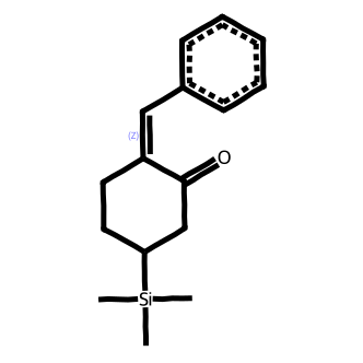 C[Si](C)(C)C1CC/C(=C/c2ccccc2)C(=O)C1